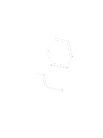 CCC(=C(C(=O)O)C(C)C)c1ccccc1